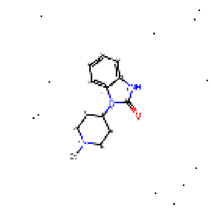 CCN1CCC(n2c(=O)[nH]c3ccccc32)CC1